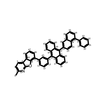 Cc1ccc2c(n1)oc1c(-c3cccc(-c4c5ccccc5c(-c5ccc6c(-c7ccccc7)cccc6c5)c5ccccc45)c3)cccc12